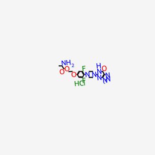 CC(N)C(=O)OCCOc1cc(F)c(N2CCN(c3nc4c(nnn4C)c(=O)[nH]3)CC2)c(F)c1.Cl